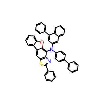 c1ccc(-c2ccc(N(c3cc(-c4ccccc4)c4ccccc4c3)c3c4nc(-c5ccccc5)sc4cc4c3oc3ccccc34)cc2)cc1